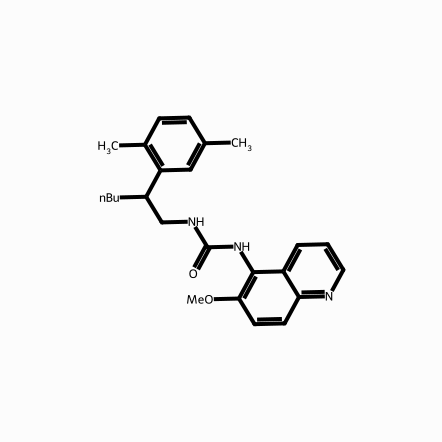 CCCCC(CNC(=O)Nc1c(OC)ccc2ncccc12)c1cc(C)ccc1C